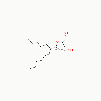 CCCCCCC(CCCCC)[C@H]1C[C@@H](O)C(CO)O1